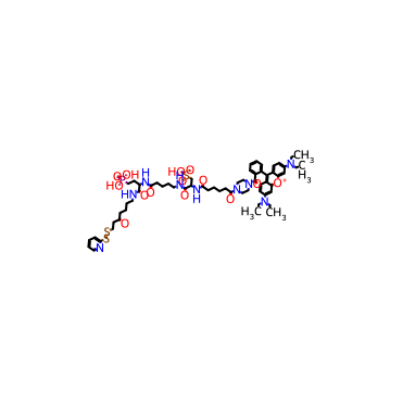 CCN(CC)c1ccc2c(-c3ccccc3C(=O)N3CCN(C(=O)CCCCC(=O)NC(CS(=O)(=O)O)C(=O)NCCCCC(=O)NC(CCP(=O)(O)O)C(=O)NCCCCC(=O)CCSSc4ccccn4)CC3)c3ccc(N(CC)CC)cc3[o+]c2c1